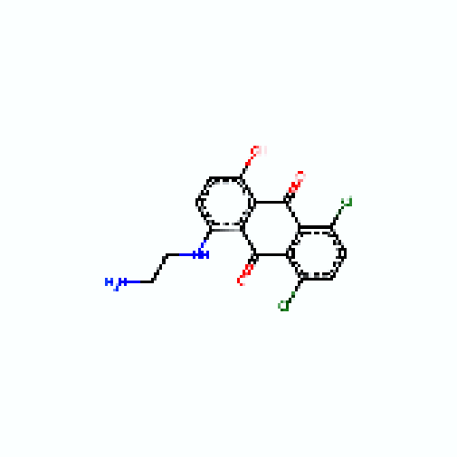 NCCNc1ccc(O)c2c1C(=O)c1c(Cl)ccc(Cl)c1C2=O